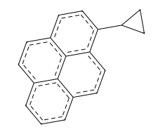 c1cc2ccc3ccc(C4CC4)c4ccc(c1)c2c34